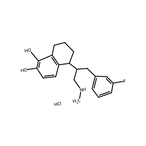 CNCC(Cc1cccc(F)c1)C1CCCc2c1ccc(O)c2O.Cl